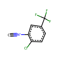 [C-]#[N+]c1cc(C(F)(F)F)ccc1Cl